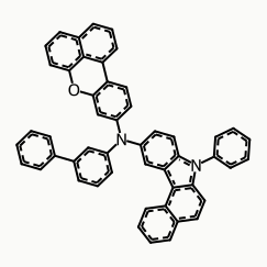 c1ccc(-c2cccc(N(c3ccc4c(c3)Oc3cccc5cccc-4c35)c3ccc4c(c3)c3c5ccccc5ccc3n4-c3ccccc3)c2)cc1